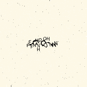 [N-]=[N+]=NC[C@H]1OC[C@H](Nc2nccc(C(F)(F)F)n2)[C@@H](O)[C@H]1O